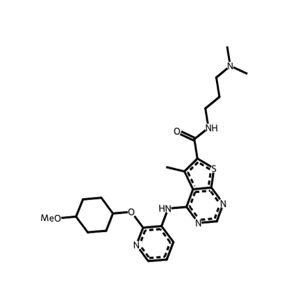 COC1CCC(Oc2ncccc2Nc2ncnc3sc(C(=O)NCCCN(C)C)c(C)c23)CC1